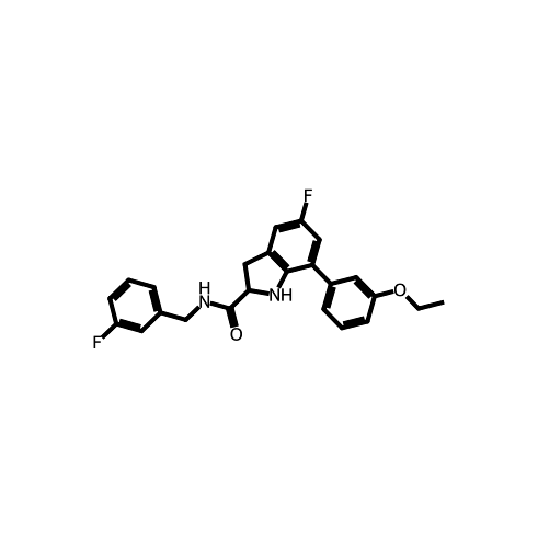 CCOc1cccc(-c2cc(F)cc3c2NC(C(=O)NCc2cccc(F)c2)C3)c1